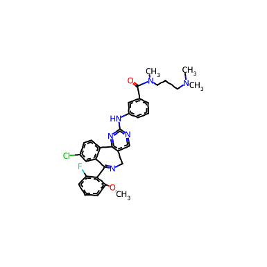 COc1cccc(F)c1C1=NCc2cnc(Nc3cccc(C(=O)N(C)CCCN(C)C)c3)nc2-c2ccc(Cl)cc21